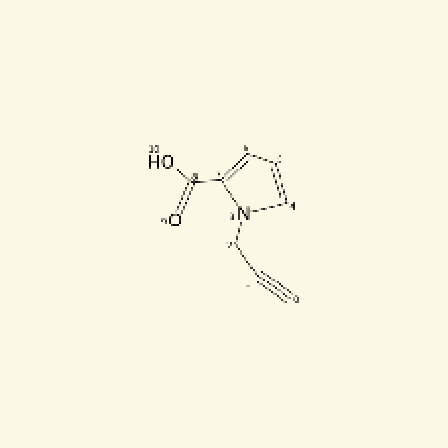 C#CCn1cccc1C(=O)O